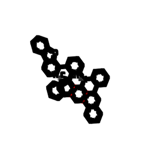 CC1(C)c2ccccc2-c2cccc(N(c3ccccc3-c3ccc4ccccc4c3)c3cccc(-c4cccc5c4oc4ccccc45)c3-c3ccccc3)c21